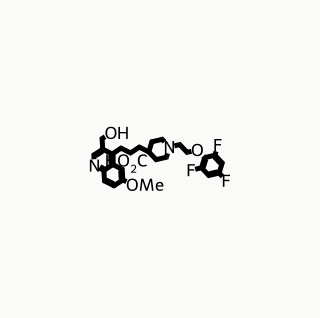 COc1ccc2ncc(CO)c(CCCC3(C(=O)O)CCN(CCOc4c(F)cc(F)cc4F)CC3)c2c1